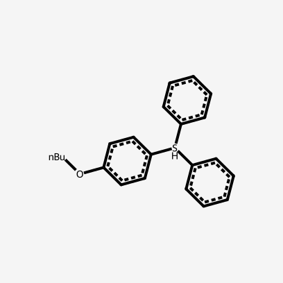 CCCCOc1ccc([SH](c2ccccc2)c2ccccc2)cc1